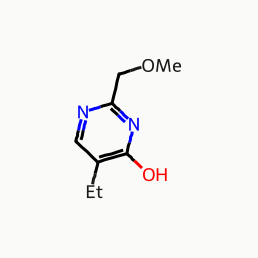 CCc1cnc(COC)nc1O